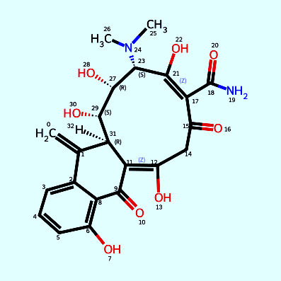 C=C1c2cccc(O)c2C(=O)/C2=C(\O)CC(=O)/C(C(N)=O)=C(/O)[C@@H](N(C)C)[C@@H](O)[C@@H](O)[C@H]12